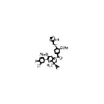 COc1cc(C(=O)NCC(C)(c2ccc(OC)c(-c3ccc(F)c(Cl)c3)n2)C2CC2)ccc1OCc1ncn[nH]1